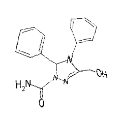 NC(=O)N1N=C(O)N(c2ccccc2)C1c1ccccc1